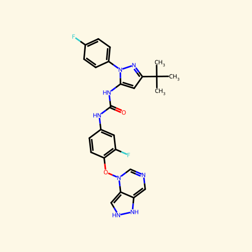 CC(C)(C)c1cc(NC(=O)Nc2ccc(ON3C=NC=C4NNC=C43)c(F)c2)n(-c2ccc(F)cc2)n1